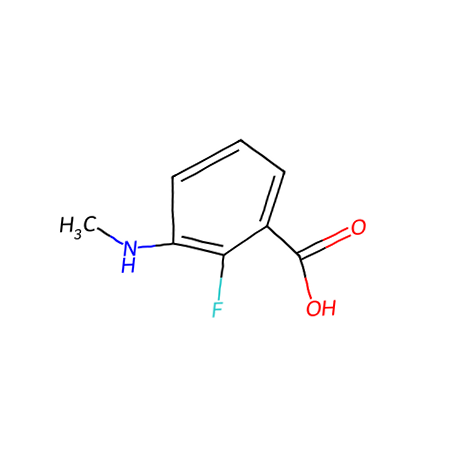 CNc1cccc(C(=O)O)c1F